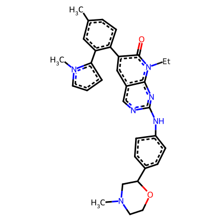 CCn1c(=O)c(-c2ccc(C)cc2-c2cccn2C)cc2cnc(Nc3ccc(C4CN(C)CCO4)cc3)nc21